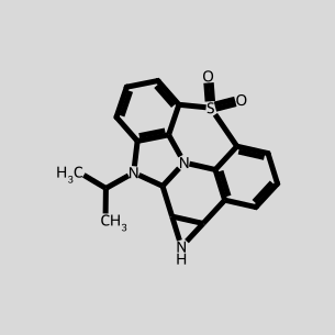 CC(C)N1c2cccc3c2N2c4c(cccc4S3(=O)=O)C3NC3C21